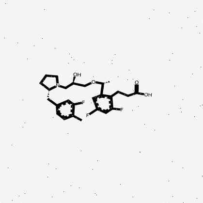 Cc1ccc(C[C@@H]2CCCN2C[C@@H](O)CO[C@H](C)c2cc(F)cc(F)c2CCC(=O)O)cc1F